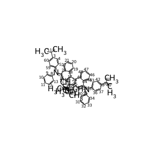 CC(C)c1ccc(N(c2ccccc2)c2cc3c(c4ccccc24)-c2c(cc(N(c4ccccc4)c4ccc(C(C)C)cc4)c4ccccc24)C3([Si](C)(C)C)[Si](C)(C)C)cc1